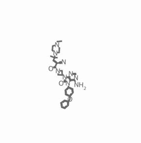 CCN1CCN(C(C)(C)C=C(C#N)C(=O)N2CC(n3c(=O)n(-c4ccc(Oc5ccccc5)cc4)c4c(N)ncnc43)C2)CC1